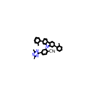 Cc1nc(C)nc(-c2ccc(C#N)c(-n3c4cc(-c5ccccc5C)ccc4c4ccc(-c5ccccc5C)cc43)c2)n1